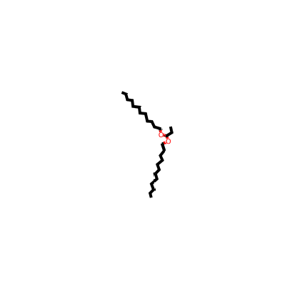 CCCCCCCCCCCCO[C](CC)OCCCCCCCCCCCC